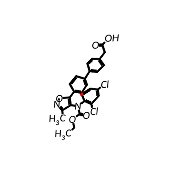 CCOC(=O)N(c1ccc(Cl)cc1Cl)c1c(C)noc1-c1ccc(-c2ccc(CC(=O)O)cc2)cc1